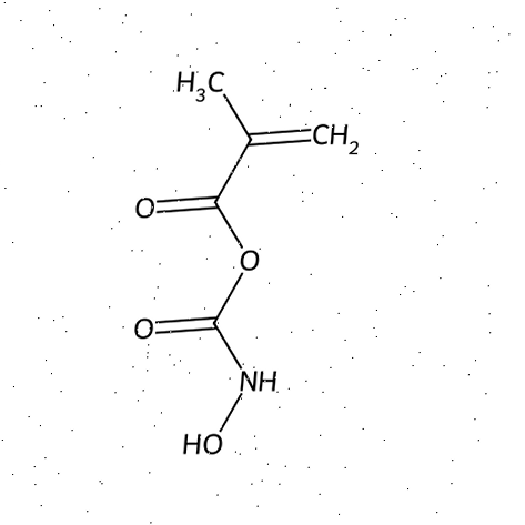 C=C(C)C(=O)OC(=O)NO